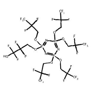 OC(F)(F)C(F)(F)COP1(OCC(F)(F)C(F)(F)F)=NP(OCC(F)(F)C(F)(F)F)(OCC(F)(F)C(F)(F)F)=NP(OCC(F)(F)C(F)(F)F)(OCC(F)(F)C(F)(F)F)=N1